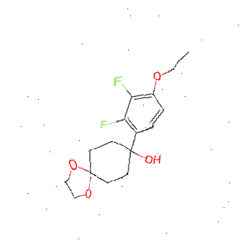 CCOc1ccc(C2(O)CCC3(CC2)OCCO3)c(F)c1F